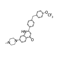 CN1CCN(c2ccc3c(=O)cc(-c4ccc(Cc5ccc(OC(F)(F)F)cc5)cc4)[nH]c3c2)CC1